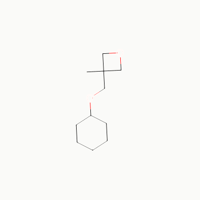 CC1(COC2CCCCC2)COC1